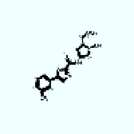 COC[C@@H]1C[C@@H](NC(=O)c2ncc(-c3cccc(C(F)(F)F)c3)o2)CN1C#N